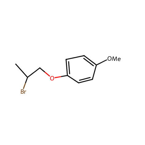 COc1ccc(OCC(C)Br)cc1